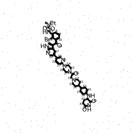 CCN(C)S(=O)(=O)Nc1cccc(C(=O)c2c[nH]c3ncc(-c4ccc(N5CCN(C(=O)CN6CCC(c7ccc(NC8CCC(=O)NC8=O)cc7)CC6)CC5)nc4)cc23)c1Br